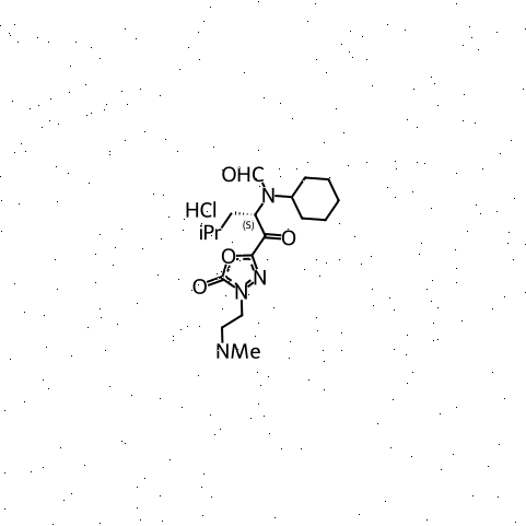 CNCCn1nc(C(=O)[C@H](CC(C)C)N(C=O)C2CCCCC2)oc1=O.Cl